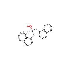 CC(O)(Cc1cccc2ccccc12)Cc1cccc2ccccc12